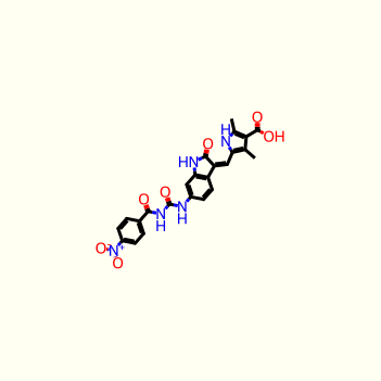 Cc1[nH]c(C=C2C(=O)Nc3cc(NC(=O)NC(=O)c4ccc([N+](=O)[O-])cc4)ccc32)c(C)c1C(=O)O